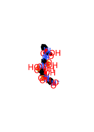 O=C(O)C1=NN(c2ccccc2)C(=O)C1N=Nc1ccc(N=Nc2c(S(=O)(=O)O)cc3cc(S(=O)(=O)O)c(N=Nc4ccc([N+](=O)[O-])cc4)c(O)c3c2O)c(S(=O)(=O)O)c1